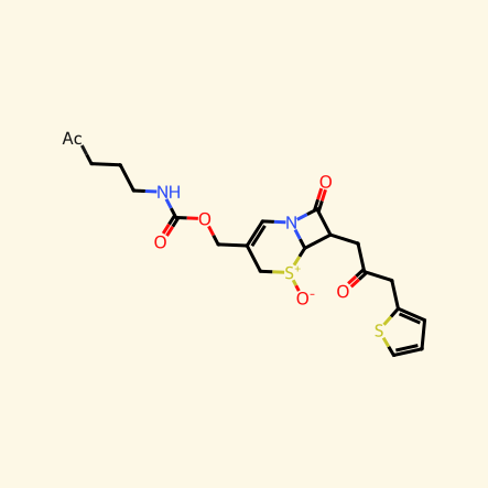 CC(=O)CCCNC(=O)OCC1=CN2C(=O)C(CC(=O)Cc3cccs3)C2[S+]([O-])C1